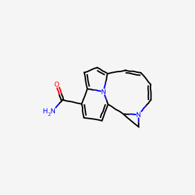 NC(=O)c1ccc2n3c(ccc13)C=CC=CN1CC21